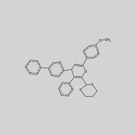 COc1ccc(C2=CC(c3ccc(-c4ccccc4)cc3)C(c3ccccc3)=C(C3SCCCS3)O2)cc1